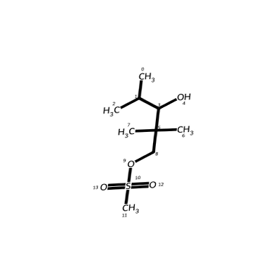 CC(C)C(O)C(C)(C)COS(C)(=O)=O